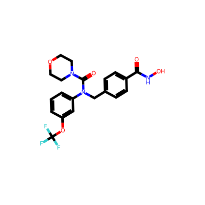 O=C(NO)c1ccc(CN(C(=O)N2CCOCC2)c2cccc(OC(F)(F)F)c2)cc1